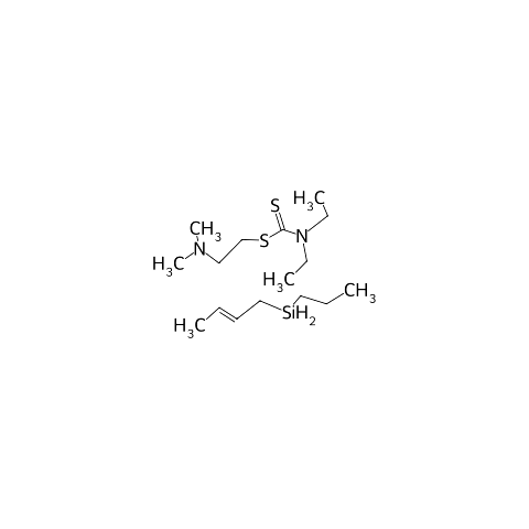 CC=CC[SiH2]CCC.CCN(CC)C(=S)SCCN(C)C